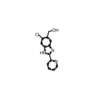 OCc1cc2nc(-c3ccccn3)[nH]c2cc1Cl